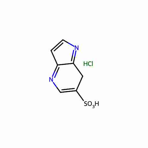 Cl.O=S(=O)(O)C1=CN=C2C=CN=C2C1